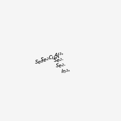 [Al+3].[Cu+2].[In+3].[Se-2].[Se-2].[Se-2].[Se-2]